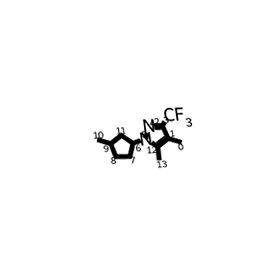 Cc1c(C(F)(F)F)nn(C2CCC(C)C2)c1C